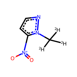 [2H]C([2H])([2H])n1nccc1[N+](=O)[O-]